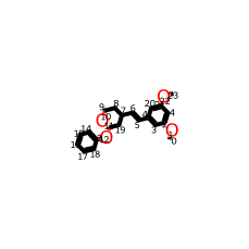 COc1cc(C=CC2CCOC(Oc3ccccc3)C2)cc(OC)c1